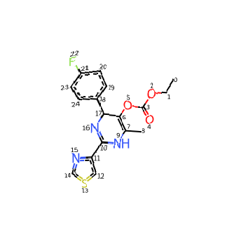 CCOC(=O)OC1=C(C)NC(c2cscn2)=NC1c1ccc(F)cc1